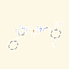 O=C(Cn1cc(-c2ccccc2)nn1)NN=Cc1cc(Cl)ccc1O